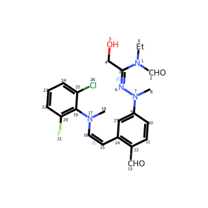 CCN(C=O)/C(CO)=N\N(C)c1ccc(C=O)c(/C=C\N(C)c2c(F)cccc2Cl)c1